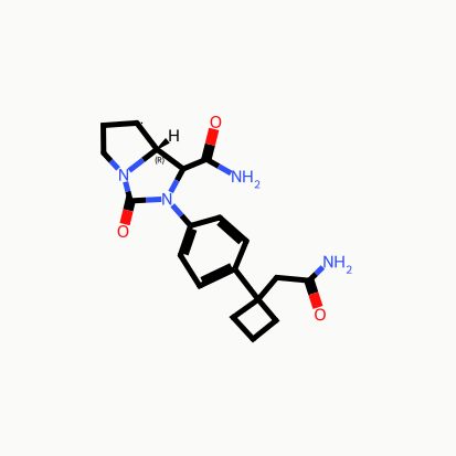 NC(=O)CC1(c2ccc(N3C(=O)N4CC[CH][C@@H]4C3C(N)=O)cc2)CCC1